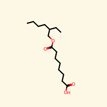 CCCCC(CC)COC(=O)CCCCCCC(=O)O